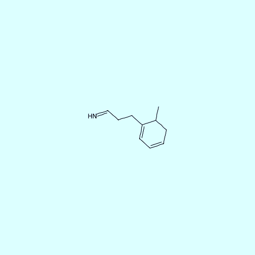 CC1CC=CC=C1CCC=N